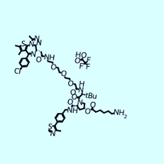 Cc1ncsc1-c1ccc(CNC(=O)[C@@H]2C[C@@H](OC(=O)CCCCCN)CN2C(=O)[C@@H](NC(=O)COCCOCCOCCNC(=O)C[C@@H]2N=C(c3ccc(Cl)cc3)c3c(sc(C)c3C)-n3c(C)nnc32)C(C)(C)C)cc1.O=C(O)C(F)(F)F